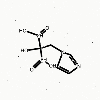 O=[PH](O)C(O)(Cn1ccnc1)[PH](=O)O